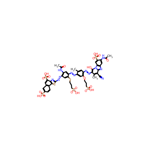 CC(=O)Nc1cc(N=Nc2cc(OCCCS(=O)(=O)O)c(N=Nc3c(C)c(C#N)c4nc5cc(NC(C)=O)c(S(=O)(=O)O)cc5n4c3O)cc2C)c(SCCCS(=O)(=O)O)cc1N=Nc1nc2c(S(=O)(=O)O)cc3cc(S(=O)(=O)O)ccc3c2s1